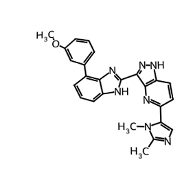 COc1cccc(-c2cccc3[nH]c(-c4n[nH]c5ccc(-c6cnc(C)n6C)nc45)nc23)c1